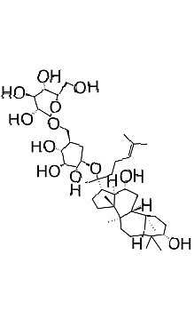 CC(C)=CCCC(C)(O[C@@H]1C[C@H](CO[C@@H]2O[C@H](CO)[C@@H](O)[C@H](O)[C@H]2O)[C@@H](O)[C@H](O)[C@H]1O)[C@H]1CC[C@]2(C)[C@@H]1[C@H](O)C[C@@H]1[C@@]3(C)CC[C@H](O)C(C)(C)[C@@H]3CC[C@]12C